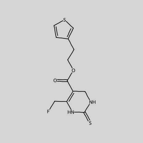 O=C(OCCc1ccsc1)C1=C(CF)NC(=S)NC1